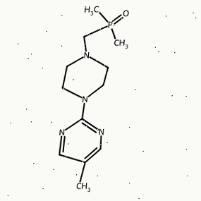 Cc1cnc(N2CCN(CP(C)(C)=O)CC2)nc1